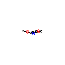 CCCCCOCCCc1ccc(-c2ccc(OCC(C)CC)cc2)nc1